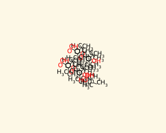 CC(C)(C)c1cc(C(=O)Oc2c(C(C)(C)C)cc(C(=O)O)cc2C(C)(C)C)cc(C(C)(C)C)c1O.CC(C)(C)c1cc(C(=O)Oc2c(C(C)(C)C)cc(C(=O)O)cc2C(C)(C)C)cc(C(C)(C)C)c1O.CCC(C)CC(C)(C)C(O)O